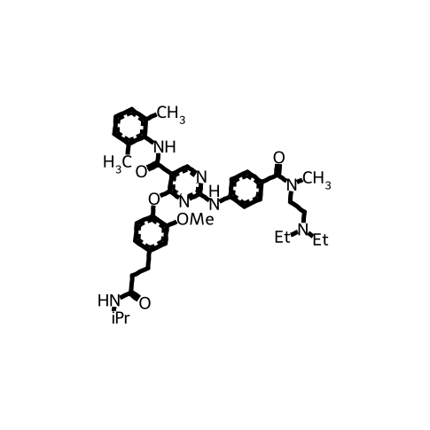 CCN(CC)CCN(C)C(=O)c1ccc(Nc2ncc(C(=O)Nc3c(C)cccc3C)c(Oc3ccc(CCC(=O)NC(C)C)cc3OC)n2)cc1